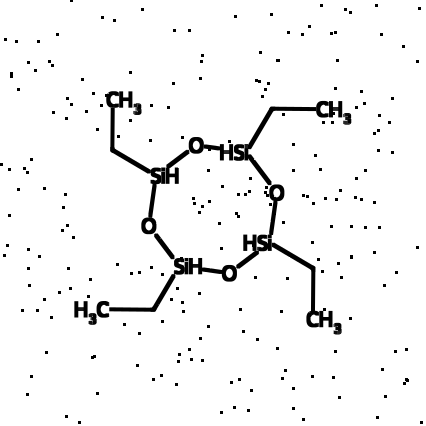 CC[SiH]1O[SiH](CC)O[SiH](CC)O[SiH](CC)O1